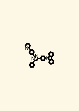 c1ccc(-c2cc(-c3ccc(-n4c5ccccc5c5ccccc54)cc3)nc(-c3ccc(-c4ccccn4)cc3)n2)cc1